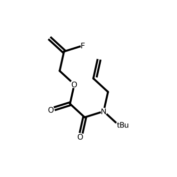 C=CCN(C(=O)C(=O)OCC(=C)F)C(C)(C)C